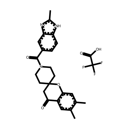 Cc1nc2cc(C(=O)N3CCC4(CC3)CC(=O)c3cc(C)c(C)cc3O4)ccc2[nH]1.O=C(O)C(F)(F)F